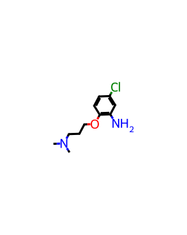 CN(C)CCCOc1ccc(Cl)cc1N